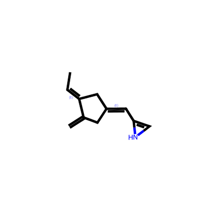 C=C1C/C(=C\C2=CN2)C/C1=C\C